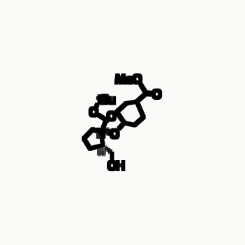 COC(=O)C1CCC(O[N@+]2(C(=O)OC(C)(C)C)CCC[C@H]2CO)CC1